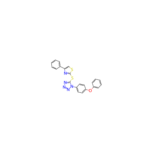 c1ccc(Oc2ccc(-n3nnnc3Sc3nc(-c4ccccc4)cs3)cc2)cc1